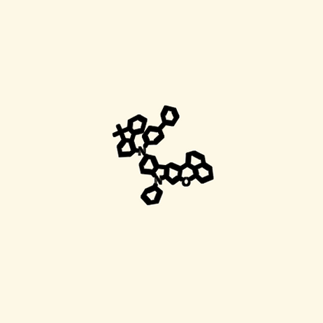 CC1(C)c2ccccc2-c2c(N(c3ccc(-c4ccccc4)cc3)c3ccc4c(c3)c3cc5c(cc3n4-c3ccccc3)Oc3cccc4cccc-5c34)cccc21